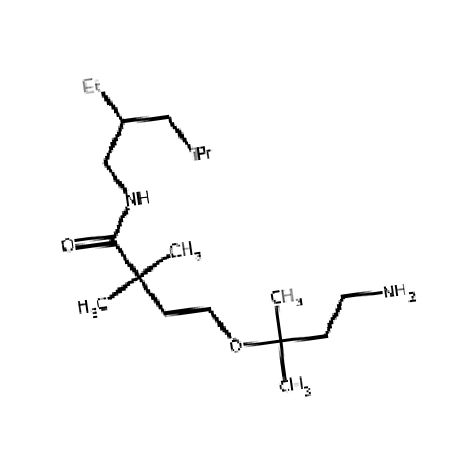 CCC(CNC(=O)C(C)(C)CCOC(C)(C)CCN)CC(C)C